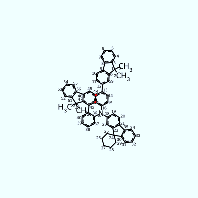 CC1(C)c2ccccc2-c2ccc(-c3ccc(N(c4ccc5c(c4)C4(CCCCC4)c4ccccc4-5)c4ccccc4-c4cccc5c4C(C)(C)c4ccccc4-5)cc3)cc21